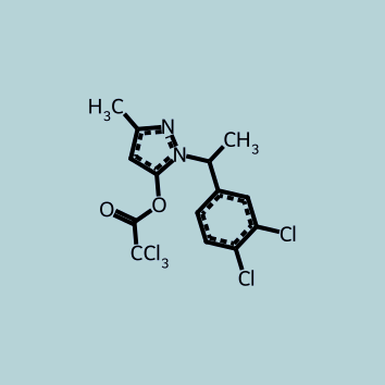 Cc1cc(OC(=O)C(Cl)(Cl)Cl)n(C(C)c2ccc(Cl)c(Cl)c2)n1